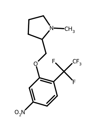 CN1CCCC1COc1cc([N+](=O)[O-])ccc1C(F)(F)C(F)(F)F